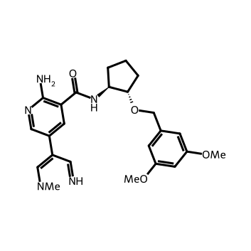 CN/C=C(\C=N)c1cnc(N)c(C(=O)N[C@H]2CCC[C@@H]2OCc2cc(OC)cc(OC)c2)c1